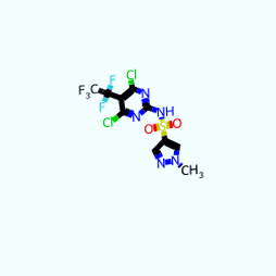 Cn1cc(S(=O)(=O)Nc2nc(Cl)c(C(F)(F)C(F)(F)F)c(Cl)n2)cn1